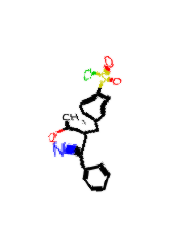 Cc1onc(-c2ccccc2)c1Cc1ccc(S(=O)(=O)Cl)cc1